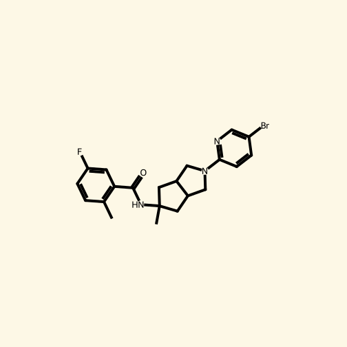 Cc1ccc(F)cc1C(=O)NC1(C)CC2CN(c3ccc(Br)cn3)CC2C1